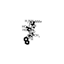 C#C[C@@]1(F)[C@H](O)[C@@H](COP(=O)(N[C@@H](C)C(=O)OC(C)C)Oc2cccc3ccccc23)O[C@H]1n1cnc2c(NC)nc(N)nc21